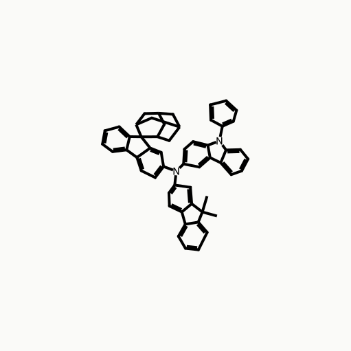 CC1(C)c2ccccc2-c2ccc(N(c3ccc4c(c3)C3(c5ccccc5-4)C4CC5CC(C4)CC3C5)c3ccc4c(c3)c3ccccc3n4-c3ccccc3)cc21